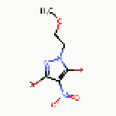 COCCn1nc(Br)c([N+](=O)[O-])c1Br